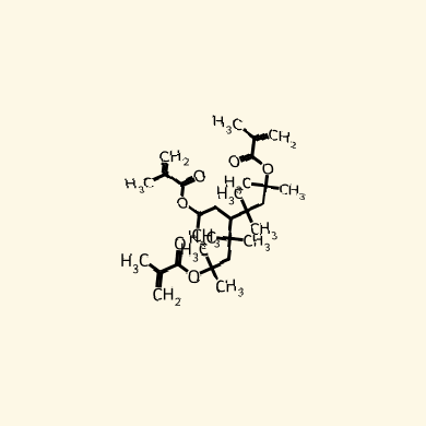 C=C(C)C(=O)OC(C)CC(C(C)(C)CC(C)(C)OC(=O)C(=C)C)C(C)(C)CC(C)(C)OC(=O)C(=C)C